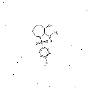 COc1ccc(S(=O)(=O)N2CCC[CH]C(O)C2C(N)=O)cc1